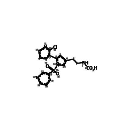 O=C(O)NCCc1cc(-c2cccnc2Cl)n(S(=O)(=O)c2cccnc2)c1